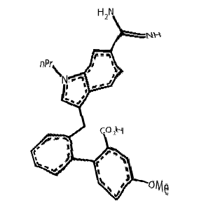 CCCn1cc(Cc2ccccc2-c2ccc(OC)cc2C(=O)O)c2ccc(C(=N)N)cc21